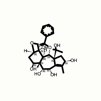 CC1=C2[C@H](O)[C@H](O)[C@@]3(C)[C@H]([C@H](OC(=O)c4ccccc4)[C@]2(C(C)(C)O)C[C@@H]1O)[C@]1(O)CO[C@@H]1C[C@@H]3O